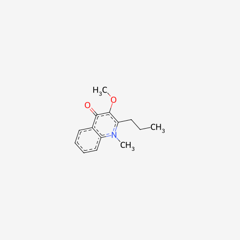 CCCc1c(OC)c(=O)c2ccccc2n1C